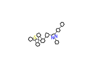 c1ccc(-c2ccc(-c3cc(-c4cccc(-c5cccc6c5-c5ccccc5C65c6ccccc6-c6c5sc5ccccc65)c4)nc(-c4ccccc4)n3)cc2)cc1